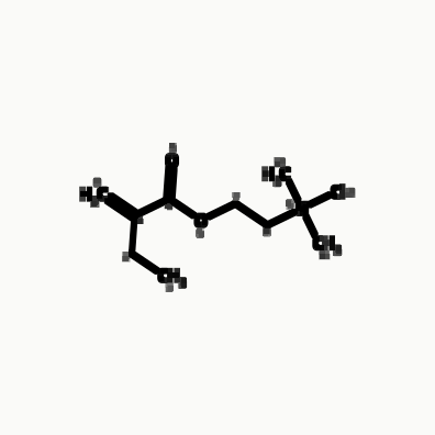 C=C(CC)C(=O)OCC[Si](C)(C)Cl